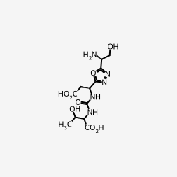 CC(O)C(NC(=O)N[C@@H](CC(=O)O)c1nnc([C@@H](N)CO)o1)C(=O)O